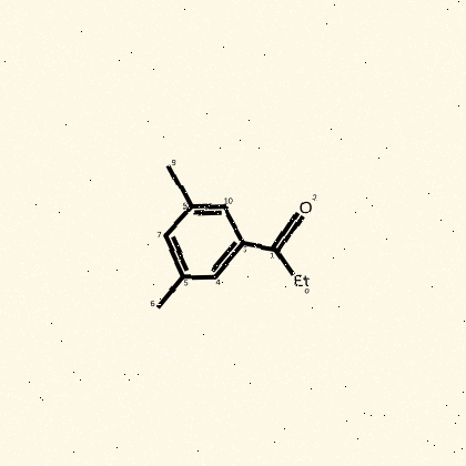 CCC(=O)c1cc(C)cc(C)c1